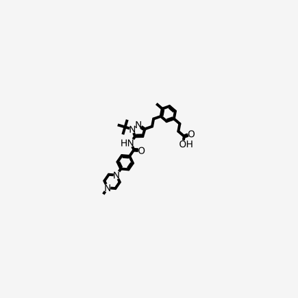 Cc1ccc(CCC(=O)O)cc1CCc1cc(NC(=O)c2ccc(N3CCN(C)CC3)cc2)n(C(C)(C)C)n1